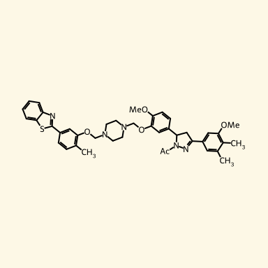 COc1ccc(C2CC(c3cc(C)c(C)c(OC)c3)=NN2C(C)=O)cc1OCN1CCN(COc2cc(-c3nc4ccccc4s3)ccc2C)CC1